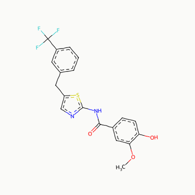 COc1cc(C(=O)Nc2ncc(Cc3cccc(C(F)(F)F)c3)s2)ccc1O